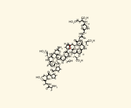 C[C@H](N)C(=O)N[C@@H](C)C(=O)N[C@@H](CC(=O)O)C(=O)N1CCC[C@H]1C(=O)N1CCC[C@H]1C(=O)N[C@@H](C)C(=O)N[C@@H](CCC(=O)O)C(=O)N[C@@H](CC(N)=O)C(=O)N[C@@H](CO)C(=O)N[C@@H](CO)C(=O)N[C@@H](C)C(=O)N1CCC[C@H]1C(=O)N[C@@H](CCC(=O)O)C(=O)N[C@@H](C)C(=O)N[C@@H](CCC(=O)O)C(=O)N[C@@H](CCC(N)=O)C(=O)NCC(=O)NCC(=O)N[C@@H](C)C(=O)N[C@@H](CCC(=O)O)C(=O)O